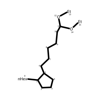 CCCCCCC1CC[CH]C1CCCCCC(OCC)OCC